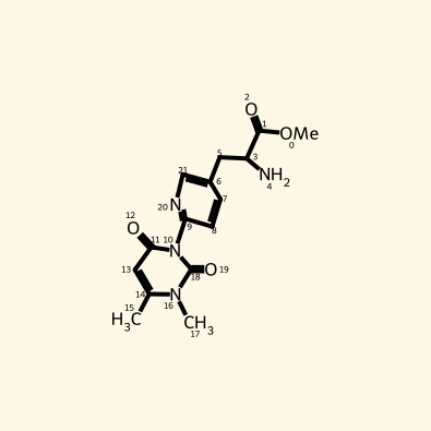 COC(=O)C(N)Cc1ccc(-n2c(=O)cc(C)n(C)c2=O)nc1